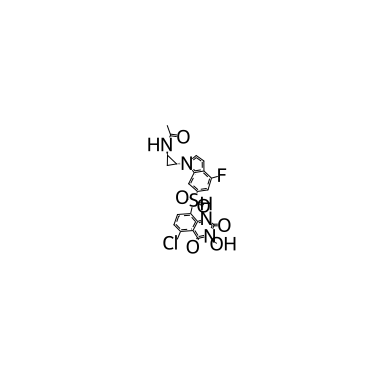 CC(=O)N[C@@H]1C[C@H]1n1ccc2c(F)cc(S(=O)(=O)c3ccc(Cl)c4c(=O)n(O)c(=O)[nH]c34)cc21